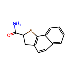 NC(=O)C1Cc2ccc3ccccc3c2S1